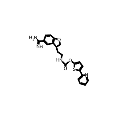 N=C(N)c1ccc2c(c1)C(CCNC(=O)Oc1ccc(-c3ccccn3)s1)CO2